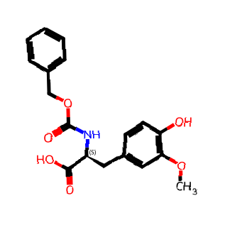 COc1cc(C[C@H](NC(=O)OCc2ccccc2)C(=O)O)ccc1O